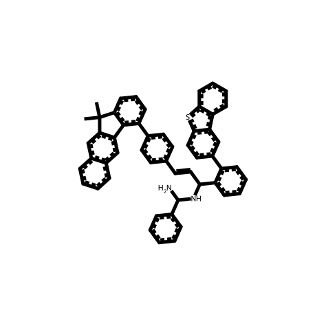 CC1(C)c2cc3ccccc3cc2-c2c(-c3ccc(/C=C/C(NC(N)c4ccccc4)c4ccccc4-c4ccc5sc6ccccc6c5c4)cc3)cccc21